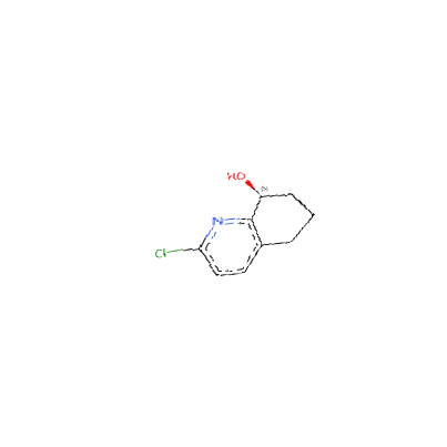 O[C@H]1CCCc2ccc(Cl)nc21